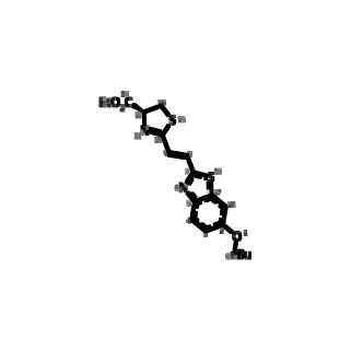 CCCCOc1ccc2nc(/C=C/C3=N[C@@H](C(=O)OCC)CS3)sc2c1